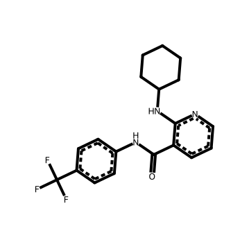 O=C(Nc1ccc(C(F)(F)F)cc1)c1cccnc1NC1CCCCC1